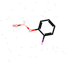 OBOc1ccccc1I